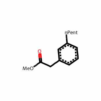 CCCCCc1cccc(CC(=O)OC)c1